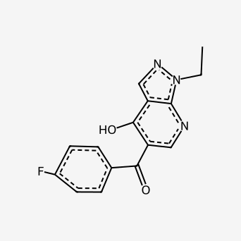 CCn1ncc2c(O)c(C(=O)c3ccc(F)cc3)cnc21